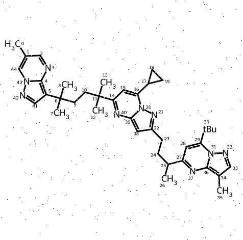 Cc1cnc2c(C(C)(C)CCC(C)(C)c3cc(C4CC4)n4nc(CCC(C)c5cc(C(C)(C)C)n6ncc(C)c6n5)cc4n3)cnn2c1